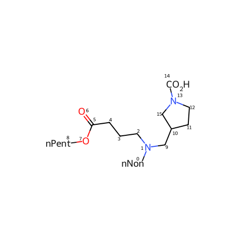 CCCCCCCCCN(CCCC(=O)OCCCCC)CC1CCN(C(=O)O)C1